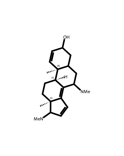 CNC1CC2CC(O)C=C[C@]2(C)[C@@H]2CC[C@@]3(C)C(=C12)C=CC3NC